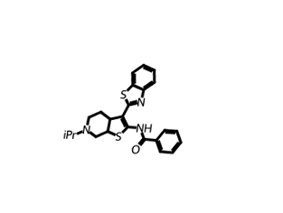 CC(C)N1CCC2C(c3nc4ccccc4s3)=C(NC(=O)c3ccccc3)SC2C1